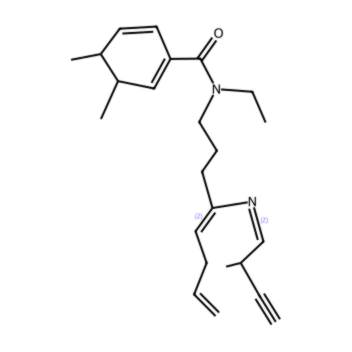 C#CC(C)/C=N\C(=C/CC=C)CCCN(CC)C(=O)C1=CC(C)C(C)C=C1